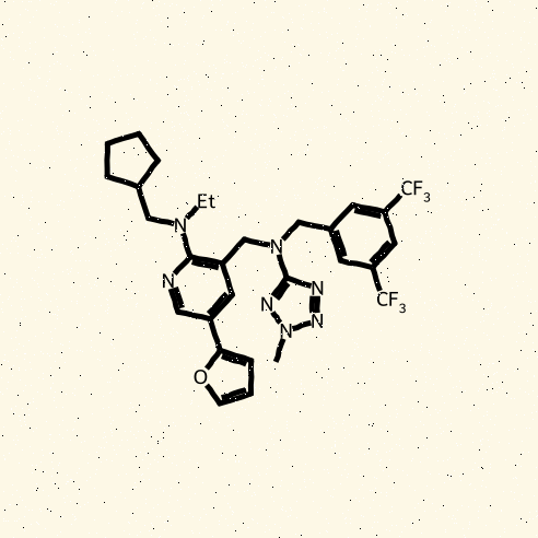 CCN(CC1CCCC1)c1ncc(-c2ccco2)cc1CN(Cc1cc(C(F)(F)F)cc(C(F)(F)F)c1)c1nnn(C)n1